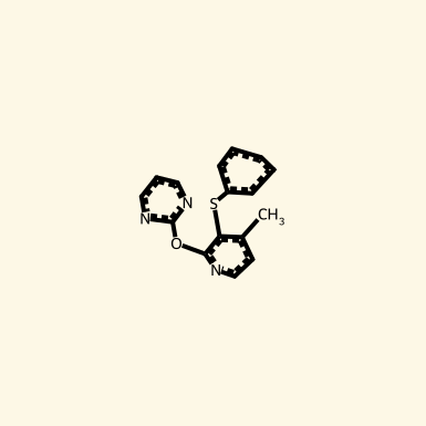 Cc1ccnc(Oc2ncccn2)c1Sc1ccccc1